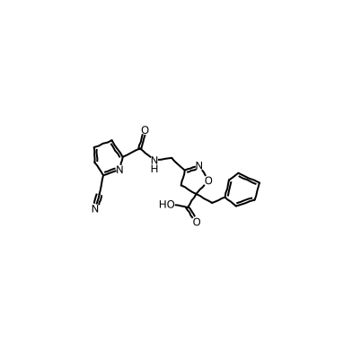 N#Cc1cccc(C(=O)NCC2=NOC(Cc3ccccc3)(C(=O)O)C2)n1